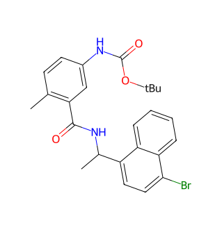 Cc1ccc(NC(=O)OC(C)(C)C)cc1C(=O)NC(C)c1ccc(Br)c2ccccc12